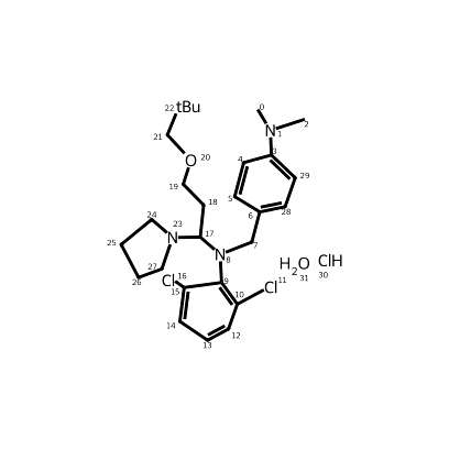 CN(C)c1ccc(CN(c2c(Cl)cccc2Cl)C(CCOCC(C)(C)C)N2CCCC2)cc1.Cl.O